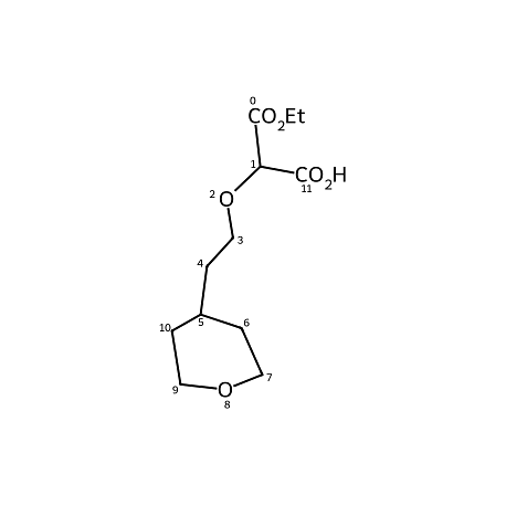 CCOC(=O)C(OCCC1CCOCC1)C(=O)O